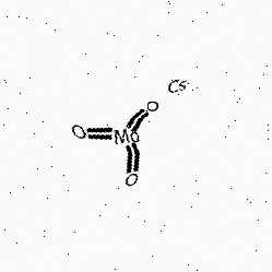 [Cs].[O]=[Mo](=[O])=[O]